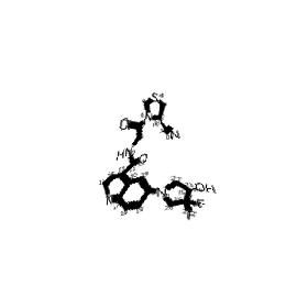 N#C[C@@H]1CSCN1C(=O)CNC(=O)c1ccnc2ccc(N3C[C@H](O)C(F)(F)C3)cc12